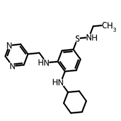 CCNSc1ccc(NC2CCCCC2)c(NCc2cncnc2)c1